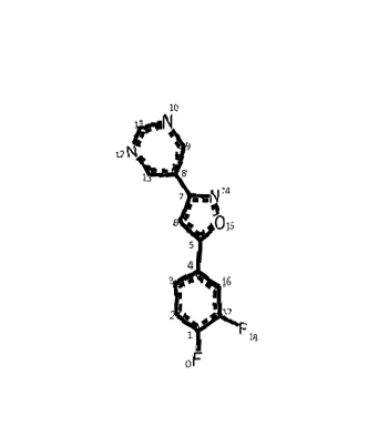 Fc1ccc(-c2cc(-c3cncnc3)no2)cc1F